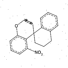 O=[N+]([O-])c1cccc2c1C1(CCCc3ccccc31)c1ccccc1O2